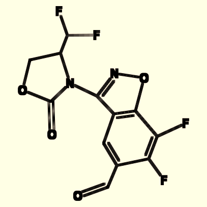 O=Cc1cc2c(N3C(=O)OCC3C(F)F)noc2c(F)c1F